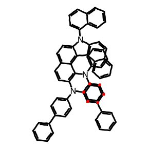 c1ccc(-c2ccc(N(c3ccccc3)c3ccc4ccc5c(c4c3N(c3ccccc3)c3ccc(-c4ccccc4)cc3)c3c4ccccc4ccc3n5-c3cccc4ccccc34)cc2)cc1